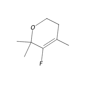 CC1=C(F)C(C)(C)OCC1